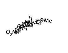 COc1ccc(C=CC(=O)Nc2nc3ccc(NC(=O)c4ccc([N+](=O)[O-])o4)cc3s2)cc1